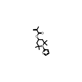 C=C(C)C(=O)OC1CC(C)(C)N(c2cccs2)C(C)(C)C1